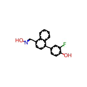 ON=Cc1ccc(-c2ccc(O)c(F)c2)c2ccccc12